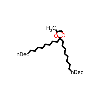 CCCCCCCCCCCCCCCCCCC1(CCCCCCCCCCCCCCCCCC)OCC(C)O1